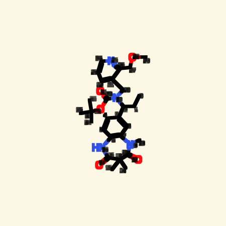 CCC(c1ccc2c(c1)N(C)C(=O)C(C)(C)C(=O)N2)N(Cc1cccnc1COC)C(=O)OC(C)(C)C